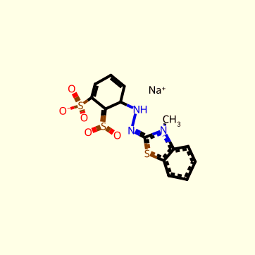 Cn1c(=NNC2C=CC=C(S(=O)(=O)[O-])C2=S(=O)=O)sc2ccccc21.[Na+]